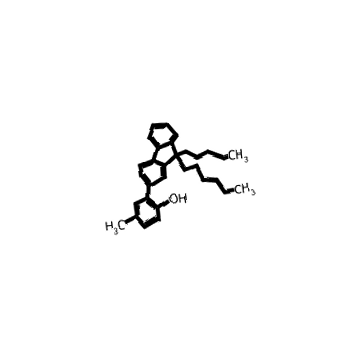 CCCCCCC1(CCCCC)c2ccccc2-c2ccc(-c3cc(C)ccc3O)cc21